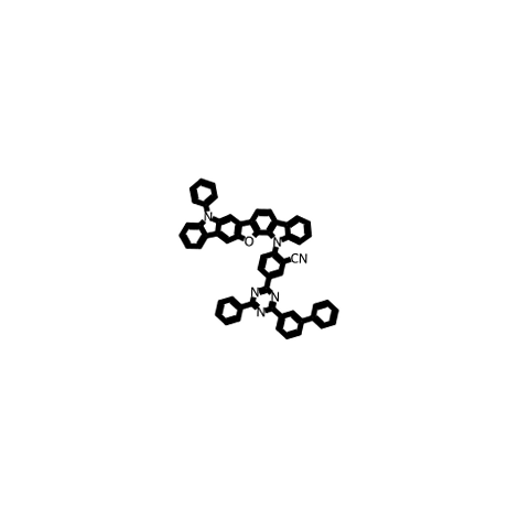 N#Cc1cc(-c2nc(-c3ccccc3)nc(-c3cccc(-c4ccccc4)c3)n2)ccc1-n1c2ccccc2c2ccc3c4cc5c(cc4oc3c21)c1ccccc1n5-c1ccccc1